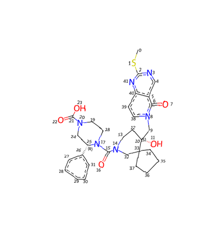 CSc1ncc2c(=O)n(C[C@]3(O)CCN(C(=O)N4CCN(C(=O)O)C[C@H]4c4ccccc4)CC34CCCC4)ccc2n1